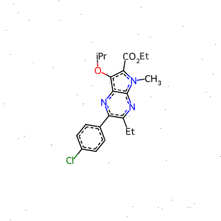 CCOC(=O)c1c(OC(C)C)c2nc(-c3ccc(Cl)cc3)c(CC)nc2n1C